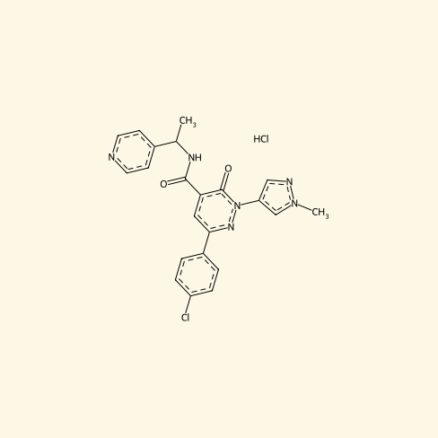 CC(NC(=O)c1cc(-c2ccc(Cl)cc2)nn(-c2cnn(C)c2)c1=O)c1ccncc1.Cl